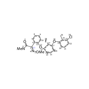 CNC(=O)/C(=N/OC)c1ccccc1Oc1ncnc(Oc2cccc(Cl)c2C)c1F